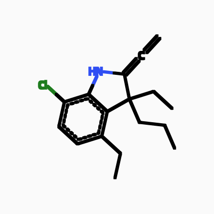 C=C=C1Nc2c(Cl)ccc(CC)c2C1(CC)CCC